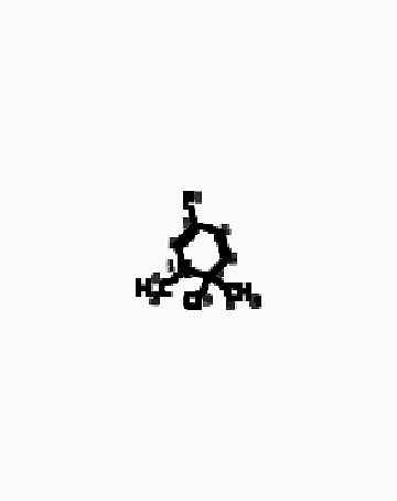 CN1C=C(F)C=CC1(C)Cl